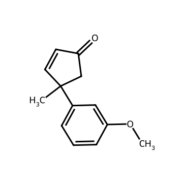 COc1cccc(C2(C)C=CC(=O)C2)c1